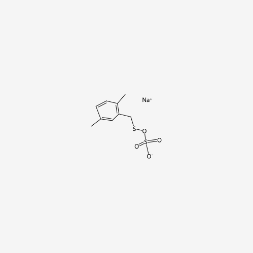 Cc1ccc(C)c(CSOS(=O)(=O)[O-])c1.[Na+]